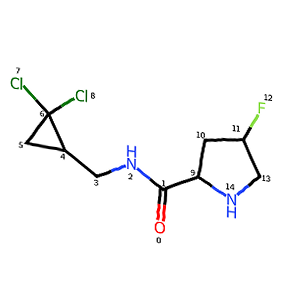 O=C(NCC1CC1(Cl)Cl)C1CC(F)CN1